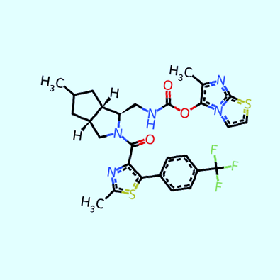 Cc1nc(C(=O)N2C[C@@H]3CC(C)C[C@@H]3[C@H]2CNC(=O)Oc2c(C)nc3sccn23)c(-c2ccc(C(F)(F)F)cc2)s1